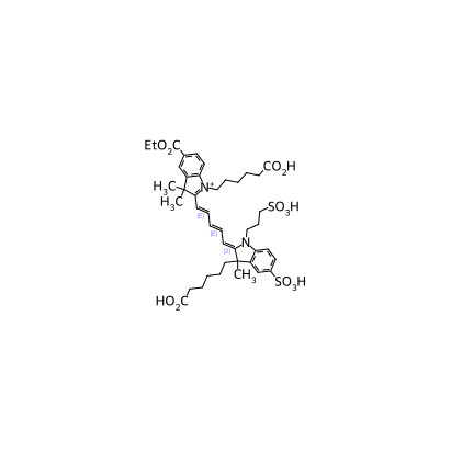 CCOC(=O)c1ccc2c(c1)C(C)(C)C(/C=C/C=C/C=C1\N(CCCS(=O)(=O)O)c3ccc(S(=O)(=O)O)cc3C1(C)CCCCCC(=O)O)=[N+]2CCCCCC(=O)O